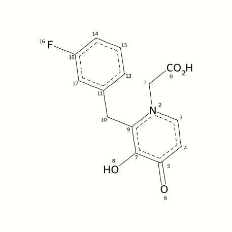 O=C(O)Cn1ccc(=O)c(O)c1Cc1cccc(F)c1